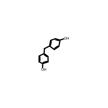 Oc1ccc([C]c2ccc(O)cc2)cc1